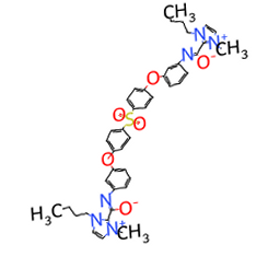 CCCCn1cc[n+](C)c1/C([O-])=N/c1cccc(Oc2ccc(S(=O)(=O)c3ccc(Oc4cccc(/N=C(\[O-])c5n(CCCC)cc[n+]5C)c4)cc3)cc2)c1